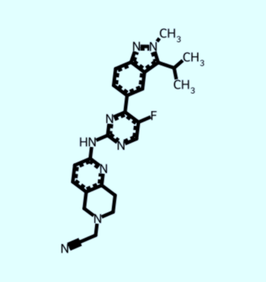 CC(C)c1c2cc(-c3nc(Nc4ccc5c(n4)CCN(CC#N)C5)ncc3F)ccc2nn1C